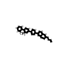 C=CCCc1ccc2cc(-c3ccc(-c4ccc(-c5ccccc5C(F)(F)F)c(F)c4)cc3)ccc2c1